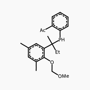 CCC(C)(Pc1ccccc1C(C)=O)c1cc(C)cc(C)c1OCOC